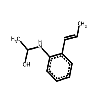 C/C=C/c1ccccc1NC(C)O